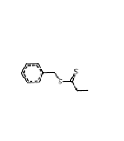 CCC(=S)SCc1ccccc1